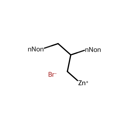 CCCCCCCCCCC([CH2][Zn+])CCCCCCCCC.[Br-]